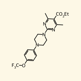 CCOC(=O)c1c(C)nc(N2CCN(c3ccc(OC(F)(F)F)cc3)CC2)nc1C